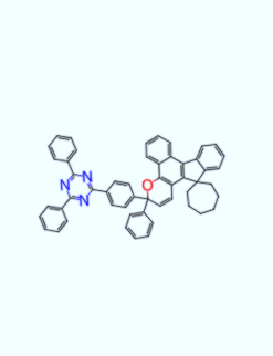 C1=CC(c2ccccc2)(c2ccc(-c3nc(-c4ccccc4)nc(-c4ccccc4)n3)cc2)Oc2c1c1c(c3ccccc23)-c2ccccc2C12CCCCCC2